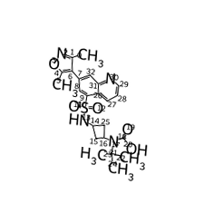 Cc1noc(C)c1-c1cc(S(=O)(=O)NC2CC(N(C(=O)O)C(C)(C)C)C2)c2cccnc2c1